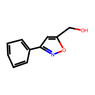 OCc1[c]c(-c2ccccc2)no1